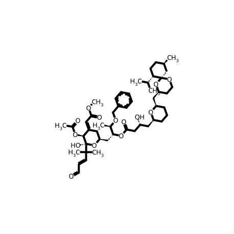 COC(=O)/C=C1\C[C@@H](C[C@@H](OC(=O)C[C@H](O)C[C@@H]2CCC[C@H](C[C@@H]3CCO[C@@]4(C[C@H](C)CC[C@H]4C(C)C)O3)O2)[C@@H](C)OCc2ccccc2)O[C@@](O)(C(C)(C)/C=C/C=O)[C@H]1OC(C)=O